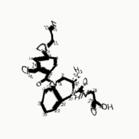 C[C@@H]1CN(C(=O)c2ccc(OCCF)cc2Cl)c2ccccc2CN1C(=O)NCC(=O)O